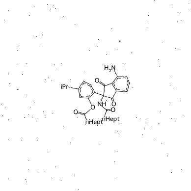 CCCCCCCC(=O)NC1(c2ccc(C(C)C)cc2OC(=O)CCCCCCC)C(=O)c2cccc(N)c2C1=O